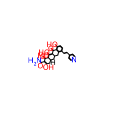 NC(=O)C1=C(O)C[C@@H]2CC3Cc4c(/C=C/c5ccncc5)ccc(O)c4C(=O)C3=C(O)[C@]2(O)C1=O